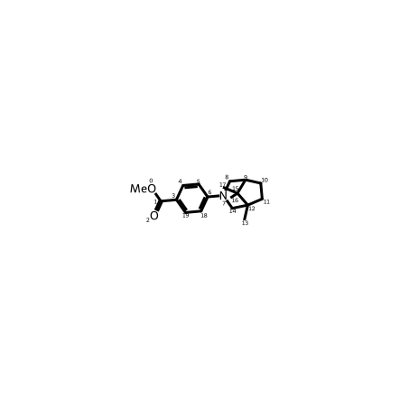 COC(=O)c1ccc(N2CC3CCC(C)(C2)C3(C)C)cc1